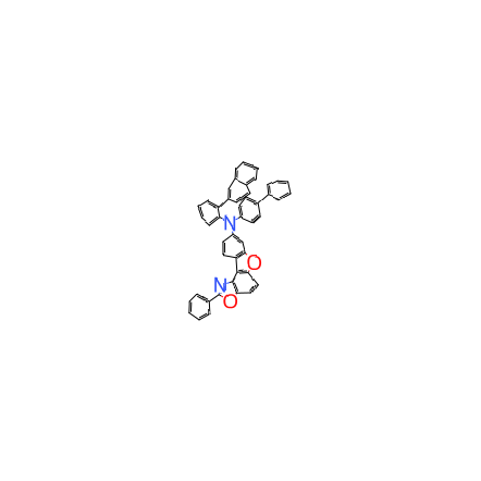 c1ccc(-c2ccc(N(c3ccc4c(c3)oc3ccc5oc(-c6ccccc6)nc5c34)c3ccccc3-c3ccc4ccccc4c3)cc2)cc1